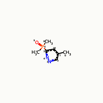 Cc1cnnc(P(C)(C)=O)c1